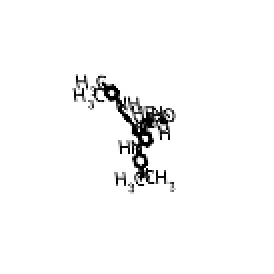 Cc1ccc(NCC#Cc2cc3c(NC4CCC(N(C)C)CC4)cccc3n2CC(F)(F)F)cc1C.N[SH](=O)=O